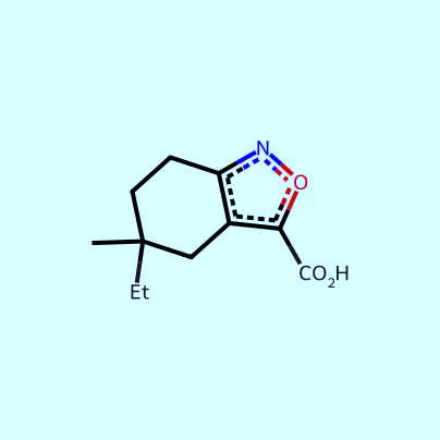 CCC1(C)CCc2noc(C(=O)O)c2C1